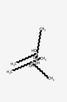 CCCCCCCCCCCCC(O)CN(CCN(CCC)CCN(CC(O)CCCCCCCCCCCC)CC(O)CCCCCCCCCCCC)CC(O)CCCCCCCCCCCC